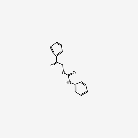 O=C(Nc1ccccc1)OCC(=O)c1ccccc1